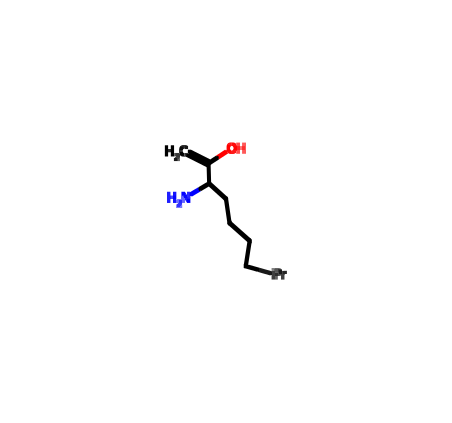 C=C(O)C(N)CCCCC(C)C